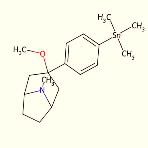 COC1(c2cc[c]([Sn]([CH3])([CH3])[CH3])cc2)CC2CCC(C1)N2C